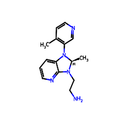 Cc1ccncc1N1c2cccnc2N(CCN)[C@@H]1C